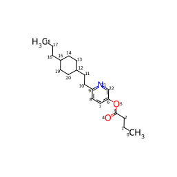 CCCC(=O)Oc1ccc(CCC2CCC(CCC)CC2)nc1